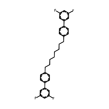 Fc1cc(F)cc(-c2ccc(CCCCCCCCc3ccc(-c4cc(F)cc(F)c4)cc3)cc2)c1